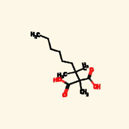 CCCCCCC(C)(C)C(C)(C(=O)O)C(=O)O